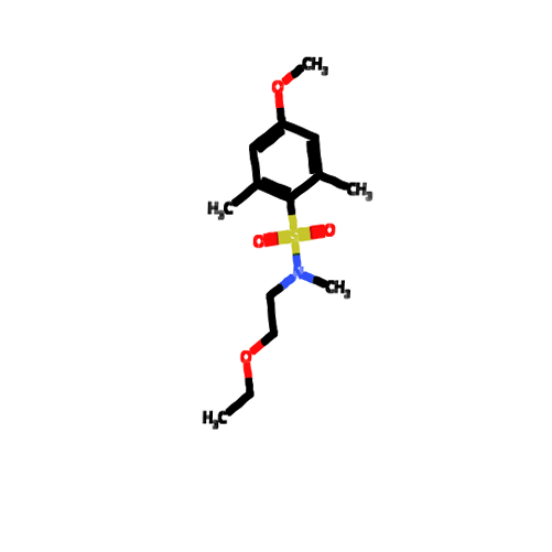 CCOCCN(C)S(=O)(=O)c1c(C)cc(OC)cc1C